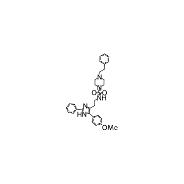 COc1ccc(-c2[nH]c(-c3ccccc3)nc2CCNS(=O)(=O)N2CCN(CCc3ccccc3)CC2)cc1